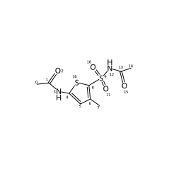 CC(=O)Nc1cc(C)c(S(=O)(=O)NC(C)=O)s1